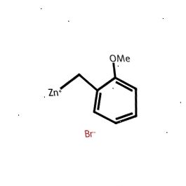 COc1ccccc1[CH2][Zn+].[Br-]